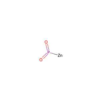 O=[P](=O)[Zn]